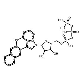 O=P(O)(O)OP(=O)(O)OP(=O)(O)OC[C@H]1O[C@@H](n2cc3c4c(ncnc42)Nc2cc4ccccc4cc2-3)C(O)C1O